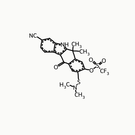 CN(C)Sc1cc2c(cc1OS(=O)(=O)C(F)(F)F)C(C)(C)c1[nH]c3cc(C#N)ccc3c1C2=O